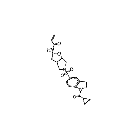 C=CC(=O)NC1CC2CN(S(=O)(=O)c3ccc4c(c3)CCN4C(=O)C3CC3)CC2O1